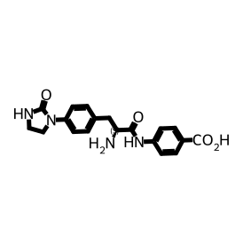 N[C@@H](Cc1ccc(N2CCNC2=O)cc1)C(=O)Nc1ccc(C(=O)O)cc1